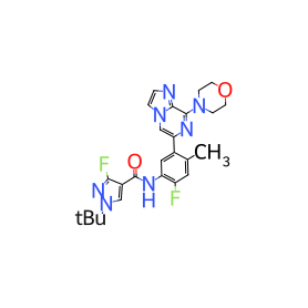 Cc1cc(F)c(NC(=O)c2cn(C(C)(C)C)nc2F)cc1-c1cn2ccnc2c(N2CCOCC2)n1